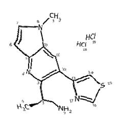 C[C@H](N)c1nc2ccn(C)c2cc1-c1cscn1.Cl.Cl